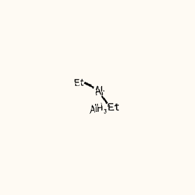 C[CH2][Al][CH2]C.[AlH3]